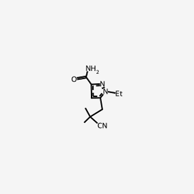 CCn1nc(C(N)=O)cc1CC(C)(C)C#N